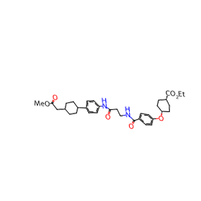 CCOC(=O)[C@H]1CC[C@@H](Oc2ccc(C(=O)NCCC(=O)Nc3ccc(C4CCC(CC(=O)OC)CC4)cc3)cc2)CC1